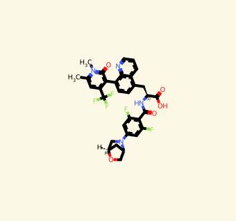 Cc1cc(C(F)(F)F)c(-c2ccc(C[C@H](NC(=O)c3c(F)cc(N4C[C@H]5CC4CO5)cc3F)C(=O)O)c3cccnc23)c(=O)n1C